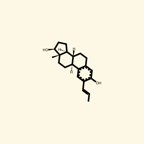 C/C=C/c1cc2c(cc1O)CC[C@@H]1[C@@H]2CC[C@]2(C)[C@@H](O)CC[C@@H]12